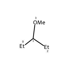 [CH2]CC(C[CH2])OC